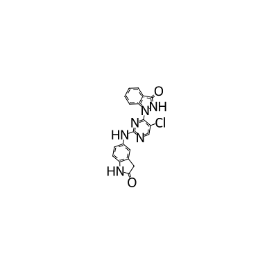 O=C1Cc2cc(Nc3ncc(Cl)c(-n4[nH]c(=O)c5ccccc54)n3)ccc2N1